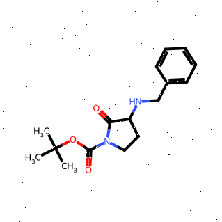 CC(C)(C)OC(=O)N1CCC(NCc2ccccc2)C1=O